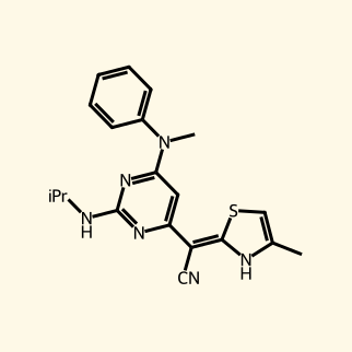 CC1=CSC(=C(C#N)c2cc(N(C)c3ccccc3)nc(NC(C)C)n2)N1